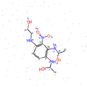 CC(O)Nc1ccc(NCCO)c([N+](=O)[O-])c1NC(C)O